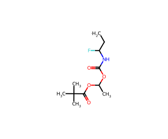 [CH2]CC(F)NC(=O)OC(C)OC(=O)C(C)(C)C